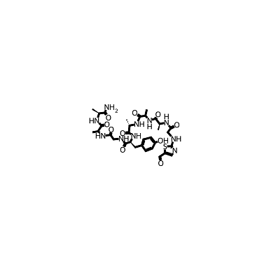 CC(NC(=O)CNC(=O)[C@H](Cc1ccc(O)cc1)NC(=O)[C@H](C)NC(=O)C(C)NC(=O)[C@H](C)NC(=O)CNc1ncc(C=O)s1)C(=O)N[C@@H](C)C(N)=O